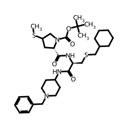 CSC1C[C@@H](C(=O)N[C@@H](CSCC2CCCCC2)C(=O)NC2CCN(Cc3ccccc3)CC2)N(C(=O)OC(C)(C)C)C1